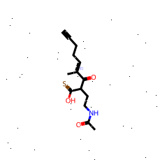 C#CCC/C=C(\C)C(=O)C(CCNC(C)=O)C(O)=S